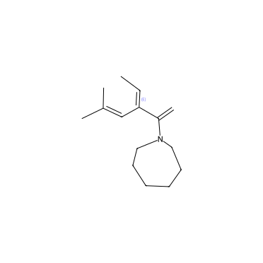 C=C(/C(C=C(C)C)=C/C)N1CCCCCC1